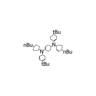 CCCCC1C=C[C@H](N(C2=CCC(C(C)(C)C)CC2)C2CC=C(N(C3CCC(CCCC)CC3)[C@@H]3C=CC(C(C)(C)C)=CC3)CC2)CC1